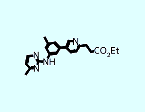 CCOC(=O)CCc1ccc(-c2cc(C)cc(Nc3nccc(C)n3)c2)cn1